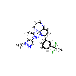 C=C(Nc1cnn(C)c1)N1CCC=Nc2ccc(-c3cccc(C(C)(F)F)c3)nc21